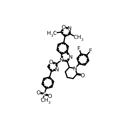 Cc1noc(C)c1-c1ccc2c(c1)nc(C1CCCC(=O)N1c1ccc(F)c(F)c1)n2-c1nc(-c2ccc(S(C)(=O)=O)cc2)co1